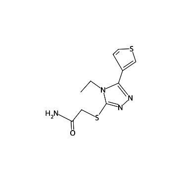 CCn1c(SCC(N)=O)nnc1-c1ccsc1